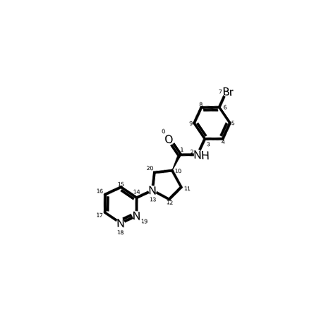 O=C(Nc1ccc(Br)cc1)[C@H]1CCN(c2cccnn2)C1